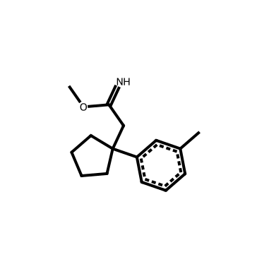 COC(=N)CC1(c2cccc(C)c2)CCCC1